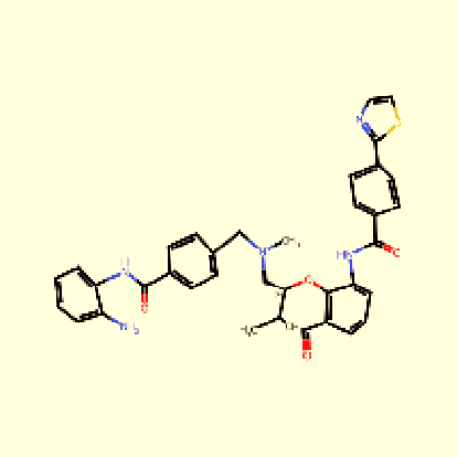 CC(C)[C@@H](CN(C)Cc1ccc(C(=O)Nc2ccccc2N)cc1)Oc1c(C=O)cccc1NC(=O)c1ccc(-c2nccs2)cc1